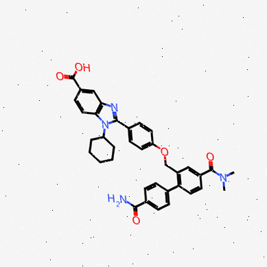 CN(C)C(=O)c1ccc(-c2ccc(C(N)=O)cc2)c(COc2ccc(-c3nc4cc(C(=O)O)ccc4n3C3CCCCC3)cc2)c1